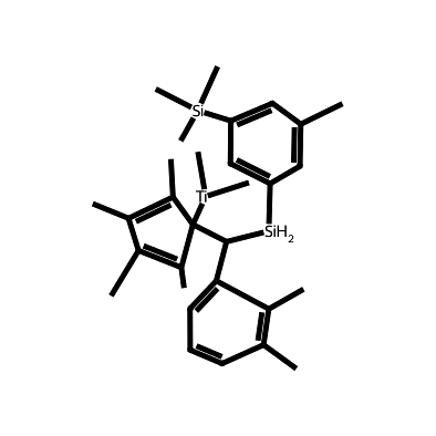 CC1=C(C)[C](C([SiH2]c2cc(C)cc([Si](C)(C)C)c2)c2cccc(C)c2C)([Ti]([CH3])[CH3])C(C)=C1C